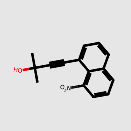 CC(C)(O)C#Cc1cccc2cccc([N+](=O)[O-])c12